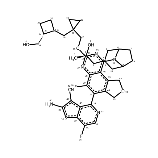 C[C@@H](O)CN1CC2CCC(C1)N2c1nc(OCC2(CN3CC[C@H]3CO)CC2)nc2c(F)c(-c3ncc(F)c4sc(N)c(C#N)c34)c3c(c12)COC3